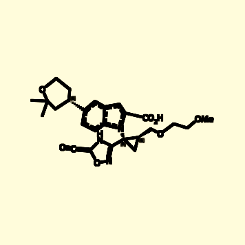 COCCOC[C@H]1C[C@]1(C1=NOC(=C=O)N1)n1c(C(=O)O)cc2cc([C@H]3CCOC(C)(C)C3)ccc21